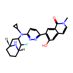 Cn1ccc2cc(O)c(-c3ccc(N(C4CC4)C4C[C@H]5CCC[C@H](N5)C4F)nn3)cc2c1=O